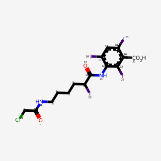 O=C(CCl)NCCCCC(I)C(=O)Nc1c(I)cc(I)c(C(=O)O)c1I